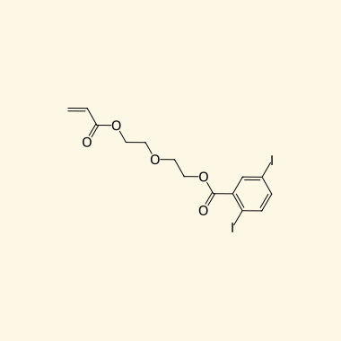 C=CC(=O)OCCOCCOC(=O)c1cc(I)ccc1I